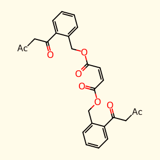 CC(=O)CC(=O)c1ccccc1COC(=O)/C=C\C(=O)OCc1ccccc1C(=O)CC(C)=O